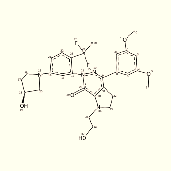 COc1cc(OC)cc(-c2nn(-c3cc(N4CC[C@H](O)C4)ccc3C(F)(F)F)c(=O)c3c2CCN3CCO)c1